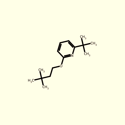 CC(C)(C)CCOc1cccc(C(C)(C)C)n1